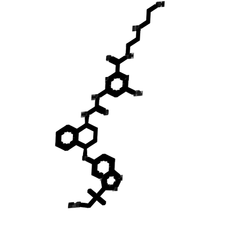 COCC(C)(C)c1nnc2ccc(O[C@@H]3CC[C@H](NC(=O)Nc4cc(C(C)(C)C)nc(C(=O)NCCNCCO)n4)c4ccccc43)cn12